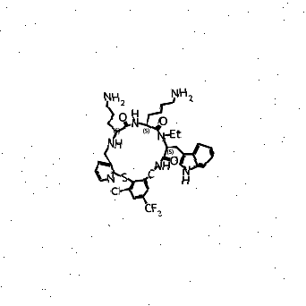 CCN1C(=O)[C@H](CCCCN)NC(=O)[C@H](CCCN)NCc2cccnc2Sc2c(Cl)cc(C(F)(F)F)cc2CNC(=O)[C@@H]1Cc1c[nH]c2ccccc12